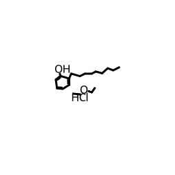 CCCCCCCCCc1ccccc1O.CCOCC.Cl